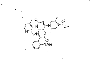 C=CC(=O)N1C[C@H](C)N(c2nc(=O)n(-c3c(C)ccnc3C(C)C)c3nc(-c4ccccc4NC)c(Cl)cc23)C[C@H]1C